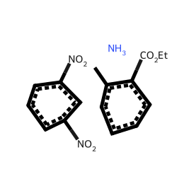 CCOC(=O)c1ccccc1C.N.O=[N+]([O-])c1cccc([N+](=O)[O-])c1